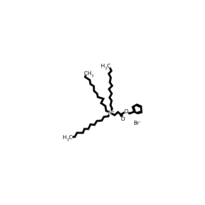 CCCCCCCCCCCC[N+](CCCCCCCCCCCC)(CCCCCCCCCCCC)CCC(=O)OCc1ccccc1.[Br-]